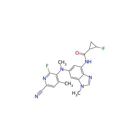 Cc1cc(C#N)nc(F)c1N(C)c1cc(NC(=O)C2CC2F)c2ncn(C)c2c1